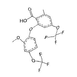 COc1cc(OC(F)(F)F)ccc1Oc1cc(OC(F)(F)F)cc(C)c1C(=O)O